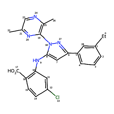 CCc1cccc(-c2cc(Nc3cc(Cl)ccc3C(=O)O)n(-c3nc(C)cnc3C)n2)c1